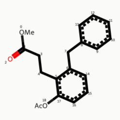 COC(=O)CCc1c(Cc2ccccc2)cccc1OC(C)=O